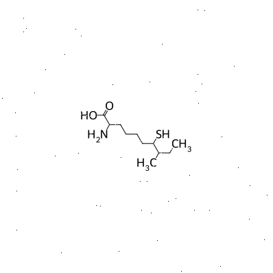 CCC(C)C(S)CCCCC(N)C(=O)O